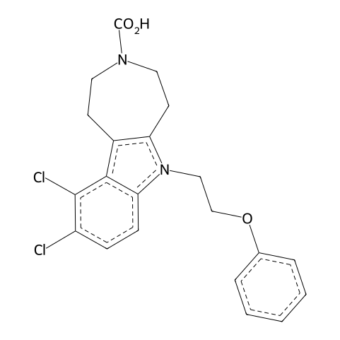 O=C(O)N1CCc2c(n(CCOc3ccccc3)c3ccc(Cl)c(Cl)c23)CC1